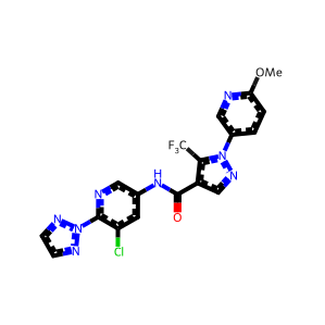 COc1ccc(-n2ncc(C(=O)Nc3cnc(-n4nccn4)c(Cl)c3)c2C(F)(F)F)cn1